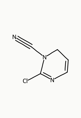 N#CN1CC=CN=C1Cl